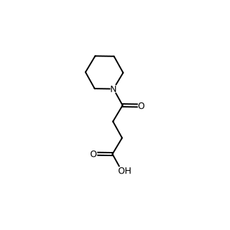 O=C(O)CCC(=O)N1CCCCC1